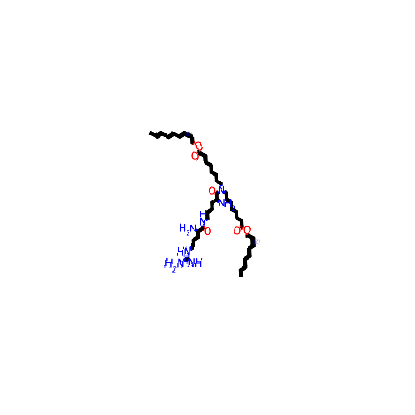 CCCCCC/C=C\COC(=O)CCCCCCCN(CCCCCCCC(=O)OC/C=C\CCCCCC)C(=O)C(N)CCCCNC(=O)C(N)CCCNC(=N)N